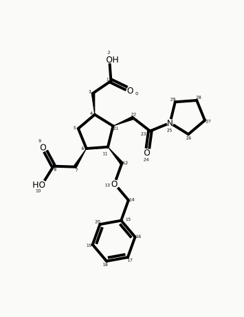 O=C(O)C[C@@H]1C[C@H](CC(=O)O)[C@H](COCc2ccccc2)[C@@H]1CC(=O)N1CCCC1